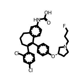 O=C(O)Nc1ccc2c(c1)CCCC(c1ccc(Cl)cc1Cl)=C2c1ccc(O[C@H]2CCN(CCCF)C2)cc1